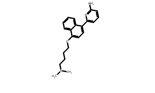 CN(C)CCCCOc1ccc(-c2cccc(N)n2)c2ccccc12